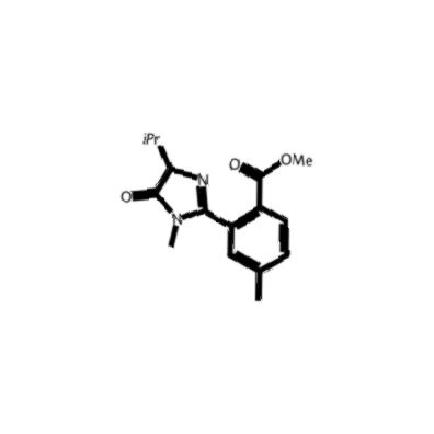 COC(=O)c1ccc(C)cc1C1=NC(C(C)C)C(=O)N1C